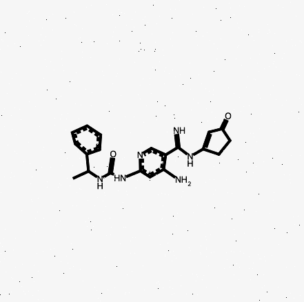 CC(NC(=O)Nc1cc(N)c(C(=N)NC2=CC(=O)CC2)cn1)c1ccccc1